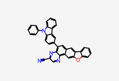 N#Cc1cnc2c(n1)c(-c1ccc3c(c1)c1ccccc1n3-c1ccccc1)cc1cc3c(cc12)oc1ccccc13